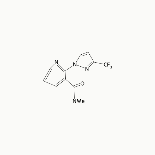 CNC(=O)c1cccnc1-n1ccc(C(F)(F)F)n1